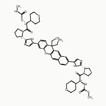 CCC1(CC)c2ccc(-c3cnc([C@@H]4CCCN4C(=O)[C@H](OC(=O)NC)C4CCOCC4)[nH]3)cc2Oc2cc3ccc(-c4cnc([C@@H]5CCCN5C(=O)[C@@H](NC(=O)OC)C5CCOCC5)[nH]4)cc3cc21